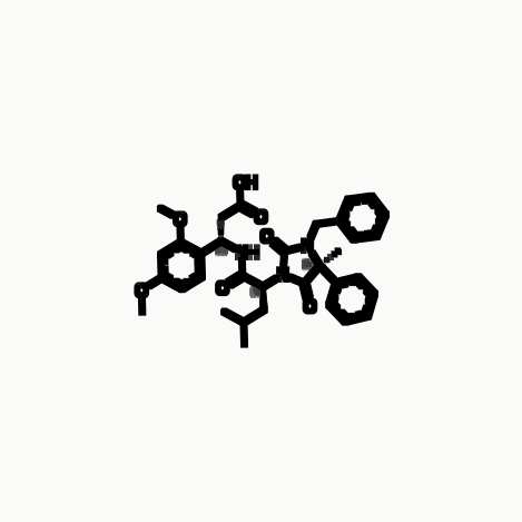 COc1ccc([C@H](CC(=O)O)NC(=O)[C@H](CC(C)C)N2C(=O)N(Cc3ccccc3)[C@@](C)(c3ccccc3)C2=O)c(OC)c1